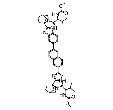 COC(=O)N[C@H](C(=O)N1CC2CCC1(c1nc(-c3ccc4cc(-c5ccc6[nH]c(C78CCC(CN7C(=O)[C@@H](NC(=O)OC)C(C)C)C8)nc6c5)ccc4c3)c[nH]1)C2)C(C)C